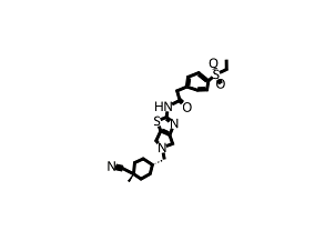 CCS(=O)(=O)c1ccc(CC(=O)Nc2nc3c(s2)CN(C[C@H]2CC[C@@](C)(C#N)CC2)C3)cc1